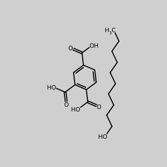 CCCCCCCCCCO.O=C(O)c1ccc(C(=O)O)c(C(=O)O)c1